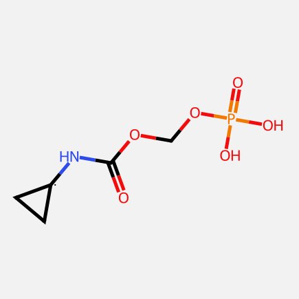 O=C(N[C]1CC1)OCOP(=O)(O)O